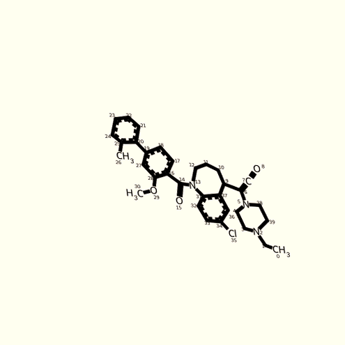 CCN1CCN(C(=C=O)C2CCCN(C(=O)c3ccc(-c4ccccc4C)cc3OC)c3ccc(Cl)cc32)CC1